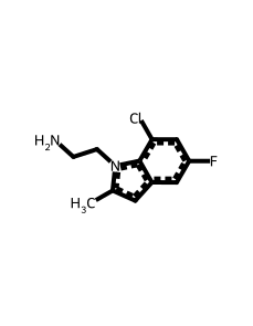 Cc1cc2cc(F)cc(Cl)c2n1CCN